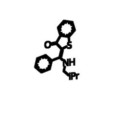 CC(C)CNC(=C1Sc2ccccc2C1=O)c1ccccc1